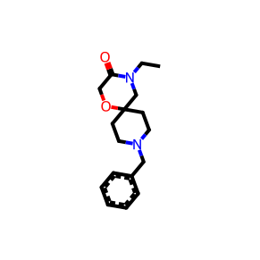 CCN1CC2(CCN(Cc3ccccc3)CC2)OCC1=O